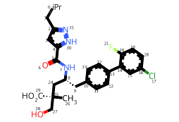 CC(C)Cc1cc(C(=O)N[C@H](Cc2ccc(-c3cc(Cl)ccc3F)cc2)C[C@@](C)(CO)C(=O)O)[nH]n1